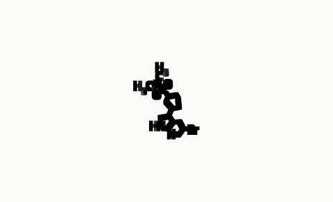 CN(C)S(=O)(=O)c1cccc(-c2c[nH]c3ncc(Br)cc23)c1